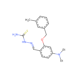 CCN(CC)c1ccc(C=NNC(N)=S)c(OCc2cccc(C)c2)c1